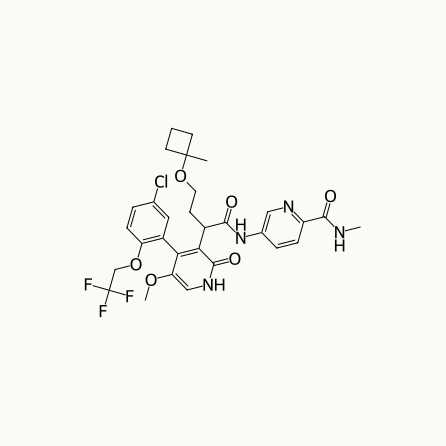 CNC(=O)c1ccc(NC(=O)C(CCOC2(C)CCC2)c2c(-c3cc(Cl)ccc3OCC(F)(F)F)c(OC)c[nH]c2=O)cn1